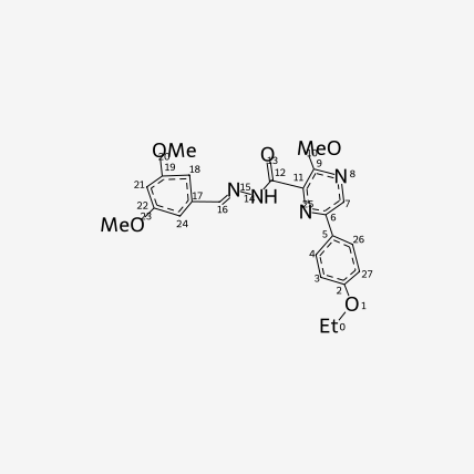 CCOc1ccc(-c2cnc(OC)c(C(=O)N/N=C/c3cc(OC)cc(OC)c3)n2)cc1